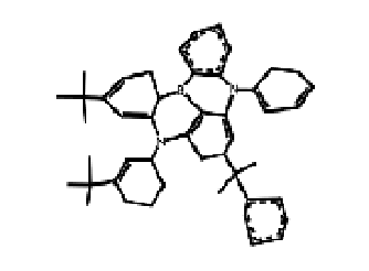 CC(C)(C)C1=CCC2B3C4=C(CC(C(C)(C)c5ccccc5)C=C4N(C4=CC=CCC4)c4ccccc43)N(C3C=C(C(C)(C)C)CCC3)C2=C1